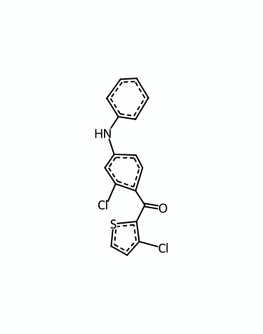 O=C(c1ccc(Nc2ccccc2)cc1Cl)c1sccc1Cl